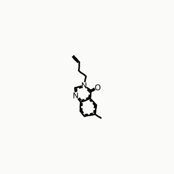 C=CCCn1cnc2ccc(C)cc2c1=O